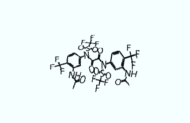 CC(=O)Nc1cc(N(C(=O)C(=O)N(c2ccc(C(F)(F)F)c(NC(C)=O)c2)S(=O)(=O)C(F)(F)F)S(=O)(=O)C(F)(F)F)ccc1C(F)(F)F